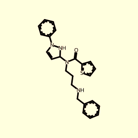 O=C(c1cccs1)N(CCCNCc1ccccc1)C1C=CN(c2ccccc2)N1